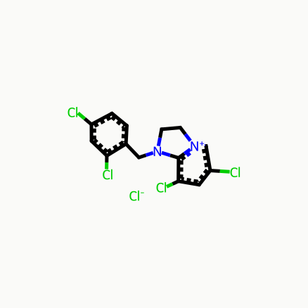 Clc1ccc(CN2CC[n+]3cc(Cl)cc(Cl)c32)c(Cl)c1.[Cl-]